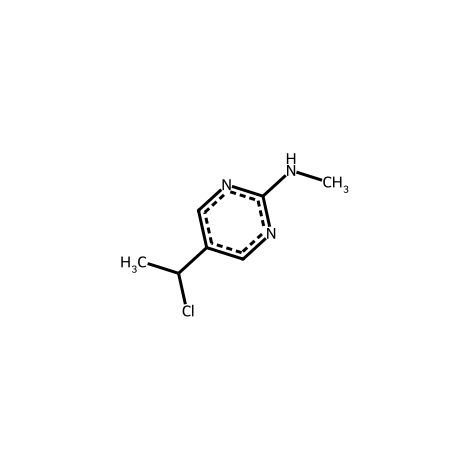 CNc1ncc(C(C)Cl)cn1